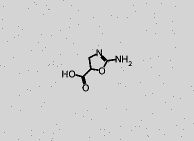 NC1=NCC(C(=O)O)O1